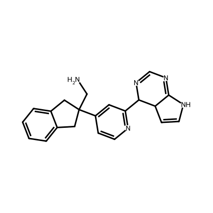 NCC1(c2ccnc(C3N=CN=C4NC=CC43)c2)Cc2ccccc2C1